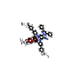 Cc1ccc(-c2ccc3c(c2)c2cc(-c4ccc(C)cc4)ccc2n3-c2cc(C#N)c(-c3nc(-c4ccccc4)cc(-c4ccccc4)n3)cc2-n2c3ccc(-c4ccc(C)cc4)cc3c3cc(-c4ccc(C)cc4)ccc32)cc1